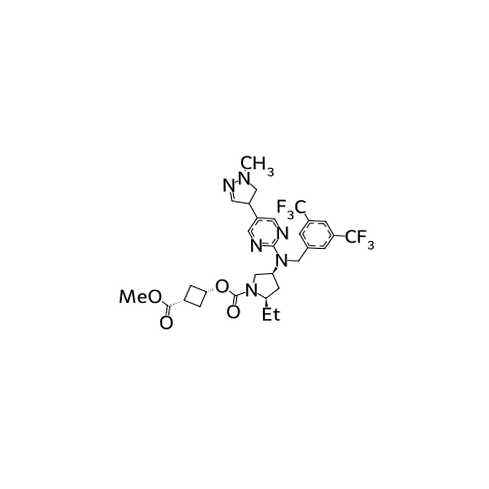 CC[C@@H]1C[C@H](N(Cc2cc(C(F)(F)F)cc(C(F)(F)F)c2)c2ncc(C3C=NN(C)C3)cn2)CN1C(=O)O[C@H]1C[C@@H](C(=O)OC)C1